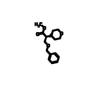 COC(=O)[C@H](COCc1ccccc1)N1CCOCC1